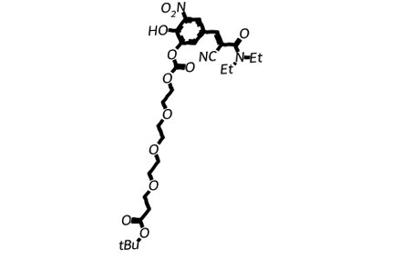 CCN(CC)C(=O)/C(C#N)=C/c1cc(OC(=O)OCCOCCOCCOCCC(=O)OC(C)(C)C)c(O)c([N+](=O)[O-])c1